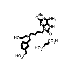 CCCCOc1nc(N)c2[nH]c(=O)n(CCCCN(CCO)Cc3cccc(CC(=O)O)c3)c2n1.O=C(O)C=CC(=O)O